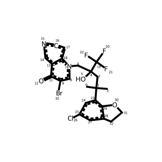 CC(C)(CC(O)(Cn1cc(Br)c(=O)c2cnccc21)C(F)(F)F)c1cc(Cl)cc2c1OCC2